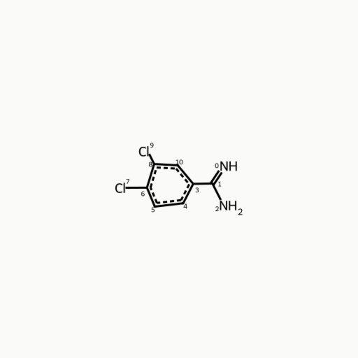 N=C(N)c1ccc(Cl)c(Cl)c1